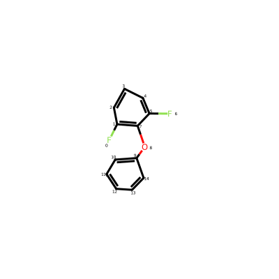 Fc1cccc(F)c1Oc1c[c]ccc1